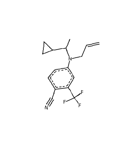 C=CCN(c1ccc(C#N)c(C(F)(F)F)c1)C(C)C1CC1